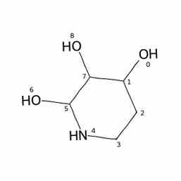 OC1CCNC(O)C1O